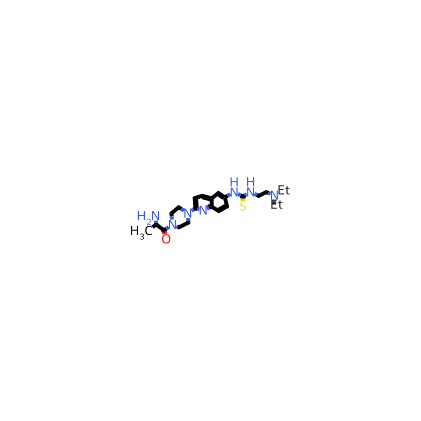 CCN(CC)CCNC(=S)Nc1ccc2nc(N3CCN(C(=O)C(C)N)CC3)ccc2c1